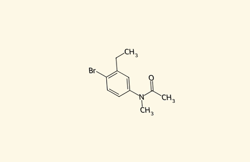 CCc1cc(N(C)C(C)=O)ccc1Br